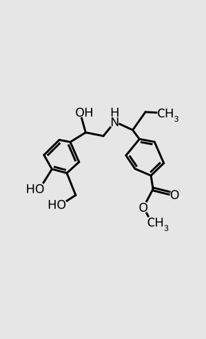 CCC(NCC(O)c1ccc(O)c(CO)c1)c1ccc(C(=O)OC)cc1